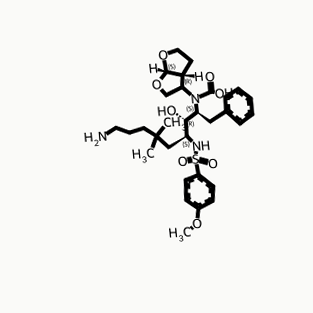 COc1ccc(S(=O)(=O)N[C@@H](CC(C)(C)CCCN)[C@H](O)[C@H](Cc2ccccc2)N(C(=O)O)C2CO[C@@H]3OCC[C@H]23)cc1